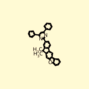 CC1(C)c2cc(-c3nc(-c4ccccc4)cc(-c4ccccc4)n3)ccc2-c2cc3c(cc21)oc1ccccc13